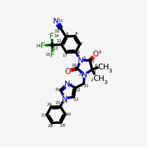 CC1(C)C(=O)N(c2ccc(C#N)c(C(F)(F)F)c2)C(=O)N1Cc1cn(-c2ccccc2)cn1